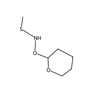 CSNOC1CCCCO1